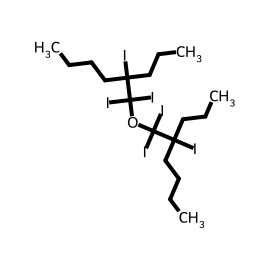 CCCCC(I)(CCC)C(I)(I)OC(I)(I)C(I)(CCC)CCCC